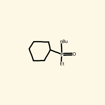 CCCCP(=O)(CC)C1CCCCC1